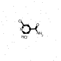 Cl.NC(=O)c1ccnc(Cl)c1